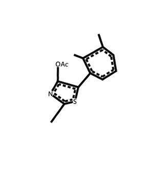 CC(=O)Oc1nc(C)sc1-c1cccc(C)c1C